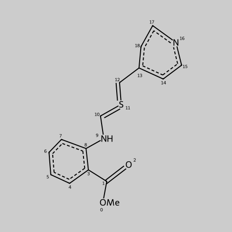 COC(=O)c1ccccc1NC=S=Cc1ccncc1